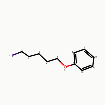 ICCCCCOc1ccccc1